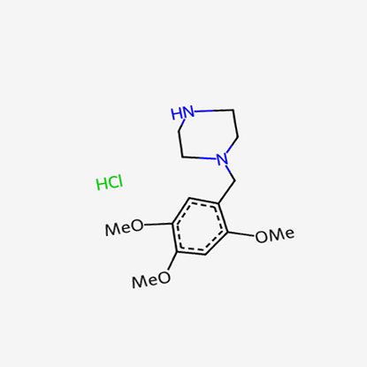 COc1cc(OC)c(OC)cc1CN1CCNCC1.Cl